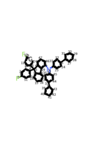 Fc1ccc(C2(c3ccc(F)cc3)c3ccccc3-c3c(N(c4ccc(-c5ccccc5)cc4)c4ccc(-c5ccccc5)cc4)cccc32)cc1